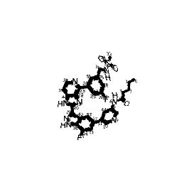 CCCCC(=O)Nc1cncc(-c2cc(F)c3[nH]nc(-c4nc5c(-c6cc(F)cc(CNS(C)(=O)=O)c6)nccc5[nH]4)c3c2)c1